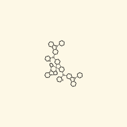 c1ccc(-n2c3ccccc3c3cc(N(c4ccc5c(c4)C4(c6cc(N(c7ccc8c(c7)c7ccccc7n8-c7ccccc7)c7ccccn7)ccc6-5)c5ccccc5-n5c6ccccc6c6cccc4c65)c4ccccn4)ccc32)cc1